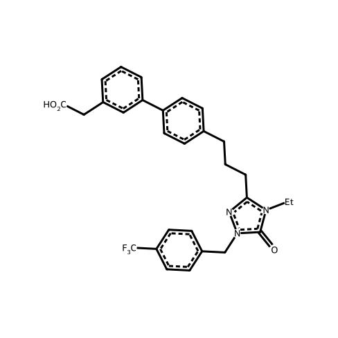 CCn1c(CCCc2ccc(-c3cccc(CC(=O)O)c3)cc2)nn(Cc2ccc(C(F)(F)F)cc2)c1=O